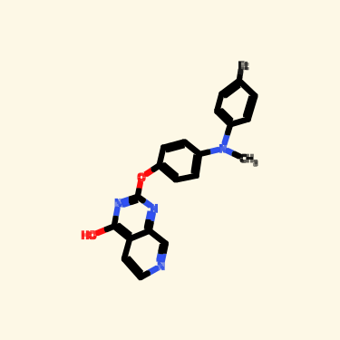 CCc1ccc(N(C)c2ccc(Oc3nc(O)c4ccncc4n3)cc2)cc1